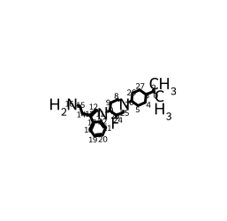 CC(C)C1CCC(N2CCC(n3cc(CCN)c4ccccc43)C(F)C2)CC1